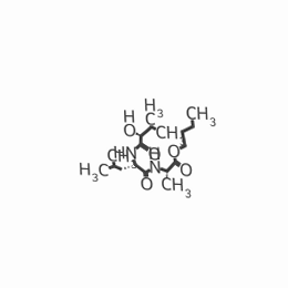 CCCCOC(=O)[C@H](C)NC(=O)[C@H](CC(C)C)NC(=O)[C@@H](O)C(C)C